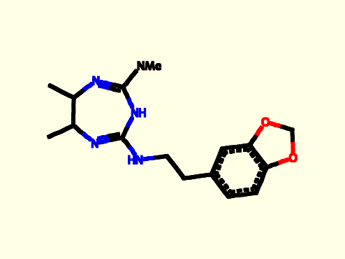 CNC1=NC(C)C(C)N=C(NCCc2ccc3c(c2)OCO3)N1